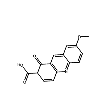 COc1ccc2nc3c(cc2c1)C(=O)C(C(=O)O)C=C3